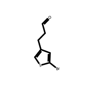 O=CCCc1csc(Br)c1